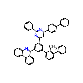 Cc1c(-c2ccccc2)cccc1-c1cc(-c2cc(-c3ccc(C4=CCCC=C4)cc3)nc(-c3ccccc3)n2)cc(-c2nc3ccccc3c3ccccc23)c1